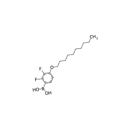 CCCCCCCCCCOc1ccc(B(O)O)c(F)c1F